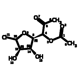 CC(=O)OC(C(C)=O)[C@H]1OC(Cl)[C@H](O)[C@@H]1O